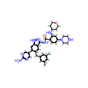 Nc1ncc(-c2cc3[nH]nc(NC(=O)c4ccc(N5CCNCC5)cc4NC4CCOCC4)c3cc2Cc2cc(F)cc(F)c2)cn1